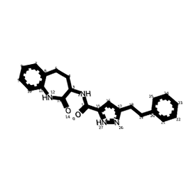 O=C(NC1CCc2ccccc2NC1=O)c1cc(CCc2ccccc2)n[nH]1